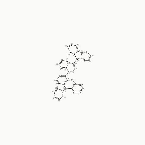 c1ccc2c(c1)Oc1c(-c3ccc(-n4c5ccccc5c5ccccc54)c4ccccc34)ccc3c4ccccc4n-2c13